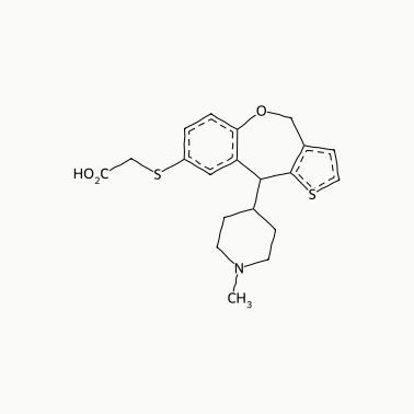 CN1CCC(C2c3cc(SCC(=O)O)ccc3OCc3ccsc32)CC1